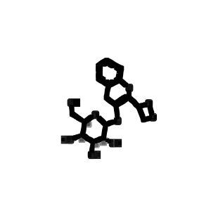 OC[C@H]1OC(OC2=C(C3COO3)Oc3ccccc3C2)[C@H](O)[C@@H](O)[C@H]1O